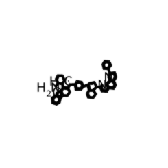 C[C@@H](C1=C(C2CCC=CC2N)c2oc3ccccc3c2CC1)c1ccc(C2=C3C=CCCC3C(c3ccc4ccc5ccc(-c6ccccc6)nc5c4n3)C=C2)cc1